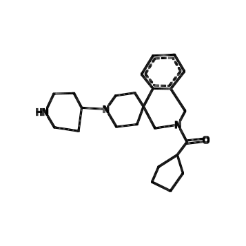 O=C(C1CCCC1)N1Cc2ccccc2C2(CCN(C3CCNCC3)CC2)C1